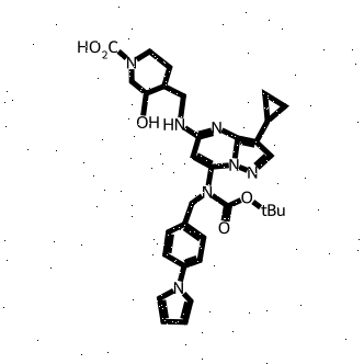 CC(C)(C)OC(=O)N(Cc1ccc(-n2cccc2)cc1)c1cc(NCC2CCN(C(=O)O)CC2O)nc2c(C3CC3)cnn12